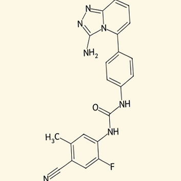 Cc1cc(NC(=O)Nc2ccc(-c3cccc4nnc(N)n34)cc2)c(F)cc1C#N